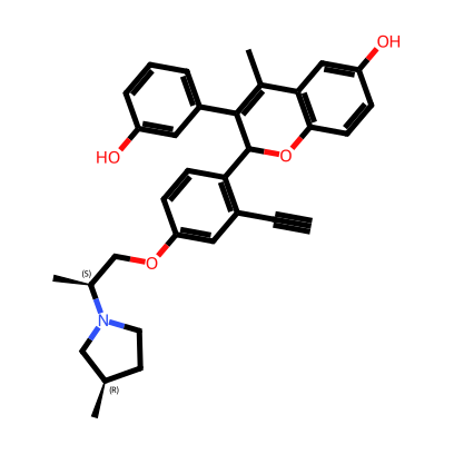 C#Cc1cc(OC[C@H](C)N2CC[C@@H](C)C2)ccc1C1Oc2ccc(O)cc2C(C)=C1c1cccc(O)c1